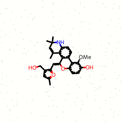 COc1c(O)ccc2c1-c1ccc3c(c1/C(=C/c1oc(C)cc1CO)O2)C(C)=CC(C)(C)N3